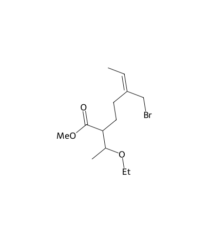 C/C=C(/CBr)CCC(C(=O)OC)C(C)OCC